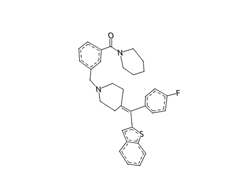 O=C(c1cccc(CN2CCC(=C(c3ccc(F)cc3)c3cc4ccccc4s3)CC2)c1)N1CCCCC1